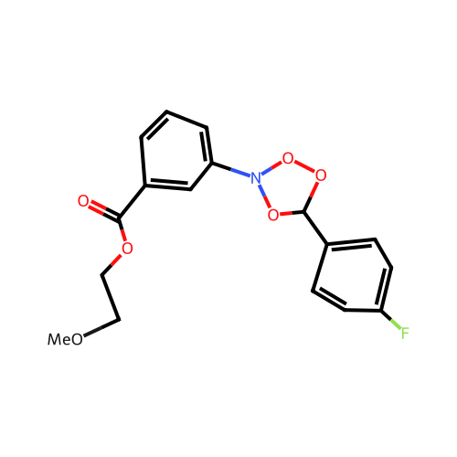 COCCOC(=O)c1cccc(N2OOC(c3ccc(F)cc3)O2)c1